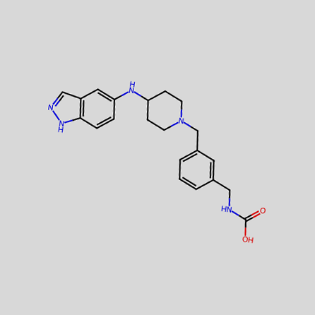 O=C(O)NCc1cccc(CN2CCC(Nc3ccc4[nH]ncc4c3)CC2)c1